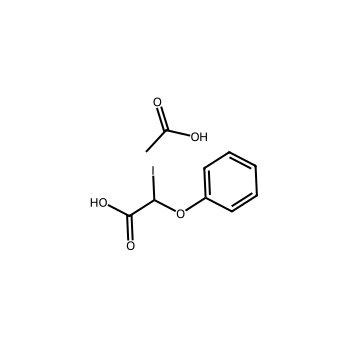 CC(=O)O.O=C(O)C(I)Oc1ccccc1